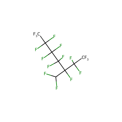 F[C](F)C(F)(C(F)(F)C(F)(F)F)C(F)(F)C(F)(F)C(F)(F)C(F)(F)F